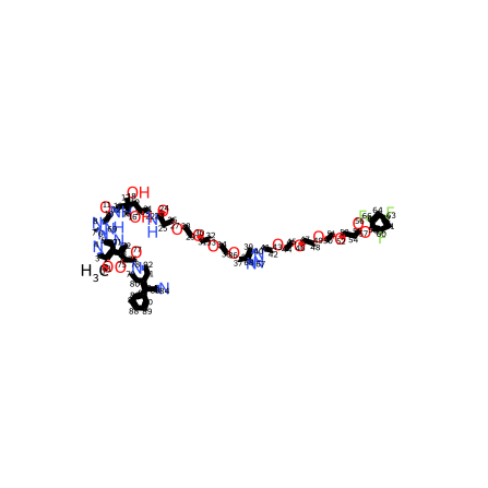 COc1cnc(-n2cnc(C(=O)NCC(CO)(CO)CCCNC(=O)CCOCCOCCOCCOCc3cn(CCOCCOCCOCCOCCC(=O)Oc4c(F)cc(F)cc4F)nn3)n2)c2[nH]cc(C(=O)C(=O)N3CCC(=C(C#N)c4ccccc4)CC3)c12